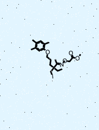 CCC(CI)(CCCOc1cc(C)c(C)cc1C)/C(C)=N/OCC(=O)OC